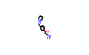 N#CCC(=O)c1ccc(CN2CCCC2)cc1